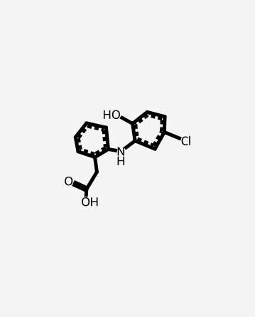 O=C(O)Cc1ccccc1Nc1cc(Cl)ccc1O